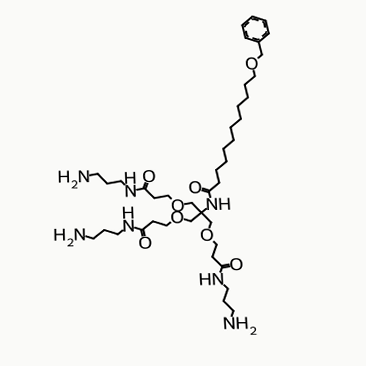 NCCCNC(=O)CCOCC(COCCC(=O)NCCCN)(COCCC(=O)NCCCN)NC(=O)CCCCCCCCCCCOCc1ccccc1